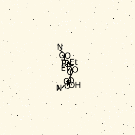 CCC(C)(CC(C)(Br)C(=O)OCCN(C)C)C(C)(CC)C(=O)OCCOP(=O)(O)OCCN(C)C